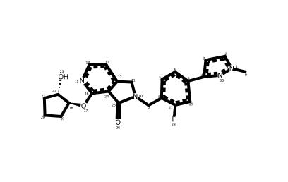 Cn1ccc(-c2ccc(CN3Cc4ccnc(O[C@H]5CCC[C@@H]5O)c4C3=O)c(F)c2)n1